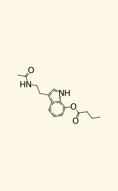 CCCC(=O)Oc1cccc2c(CCNC(C)=O)c[nH]c12